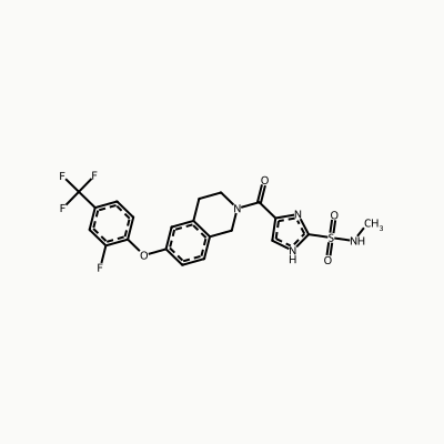 CNS(=O)(=O)c1nc(C(=O)N2CCc3cc(Oc4ccc(C(F)(F)F)cc4F)ccc3C2)c[nH]1